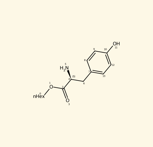 CCCCCCOC(=O)[C@@H](N)Cc1ccc(O)cc1